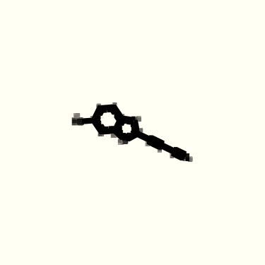 N#CC#Cc1nc2ccc(O)cc2s1